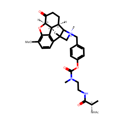 COc1ccc2c3c1O[C@H]1C(=O)CC[C@H]4C5C2(C[C@]314)C[N@+]5(C)Cc1ccc(OC(=O)N(C)CCNC(=O)[C@H](C)NC(C)=O)cc1